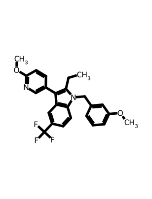 CCc1c(-c2ccc(OC)nc2)c2cc(C(F)(F)F)ccc2n1Cc1cccc(OC)c1